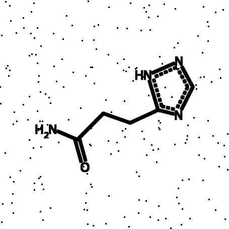 NC(=O)CCc1ncn[nH]1